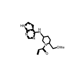 C=CC(=O)N1CC(Nc2ncnc3[nH]ccc23)CCC1COC